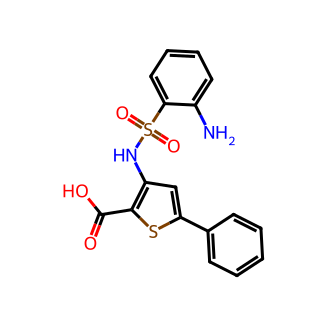 Nc1ccccc1S(=O)(=O)Nc1cc(-c2ccccc2)sc1C(=O)O